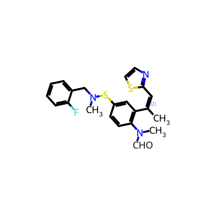 C/C(=C/c1nccs1)c1cc(SN(C)Cc2ccccc2F)ccc1N(C)C=O